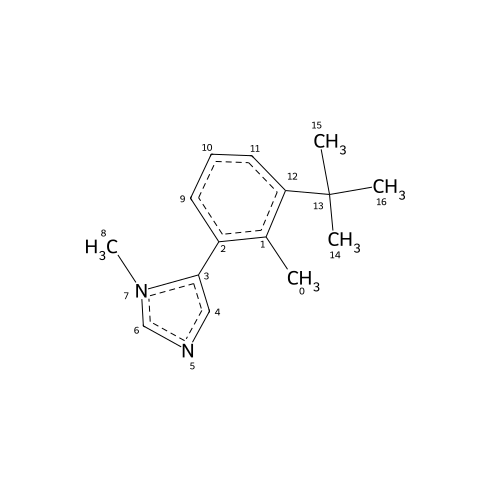 Cc1c(-c2cncn2C)cccc1C(C)(C)C